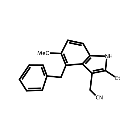 CCc1[nH]c2ccc(OC)c(Cc3ccccc3)c2c1CC#N